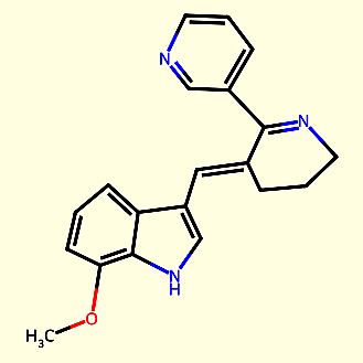 COc1cccc2c(/C=C3\CCCN=C3c3cccnc3)c[nH]c12